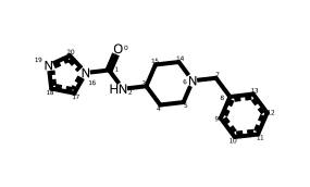 O=C(NC1CCN(Cc2ccccc2)CC1)n1ccnc1